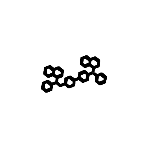 C1=Cc2ccccc2C(N(c2ccccc2)c2ccc(C3=CC=C(CC(c4ccccc4)c4cccc5ccccc45)CC3)cc2)C1